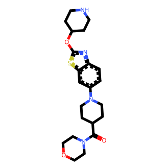 O=C(C1CCN(c2ccc3nc(OC4CCNCC4)sc3c2)CC1)N1CCOCC1